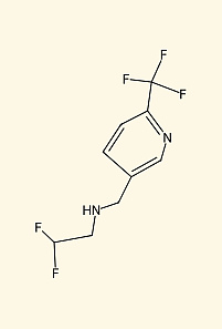 FC(F)CNCc1ccc(C(F)(F)F)nc1